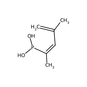 C=C(C)/C=C(/C)P(O)O